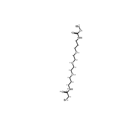 CC(C)(C)OC(=O)NCCCOCCOCCOCCCNC(=O)CBr